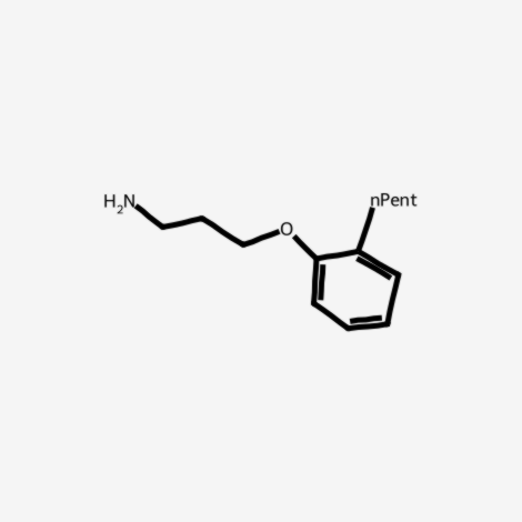 CCCCCc1ccccc1OCCCN